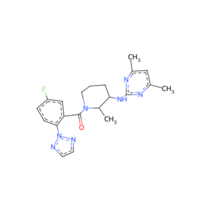 Cc1cc(C)nc(NC2CCCN(C(=O)c3cc(F)ccc3-n3nccn3)C2C)n1